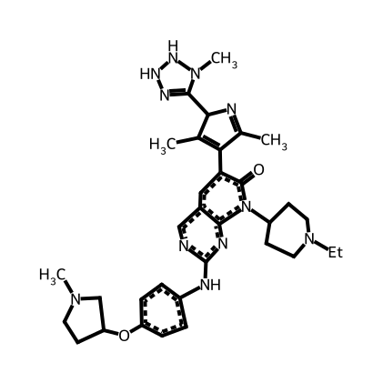 CCN1CCC(n2c(=O)c(C3=C(C)C(C4=NNNN4C)N=C3C)cc3cnc(Nc4ccc(OC5CCN(C)C5)cc4)nc32)CC1